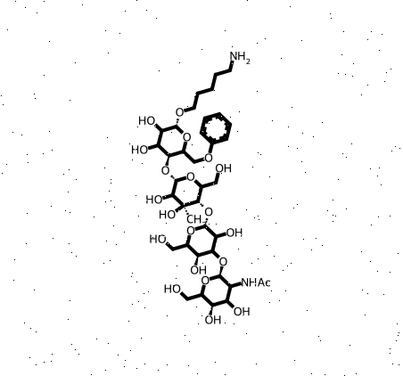 CC(=O)NC1C(O)[C@@H](O)C(CO)O[C@H]1OC1C(O)[C@@H](O[C@H]2C(CO)O[C@@H](O[C@@H]3C(COc4ccccc4)O[C@@H](OCCCCCN)C(O)C3O)C(O)[C@]2(C)O)OC(CO)[C@@H]1O